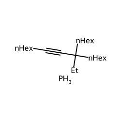 CCCCCCC#CC(CC)(CCCCCC)CCCCCC.P